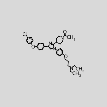 CCN(CC)CCCOc1ccc(-n2cc(-c3ccc(Oc4ccc(Cl)cc4)cc3)nc2C2CCN(C(C)=O)CC2)cc1